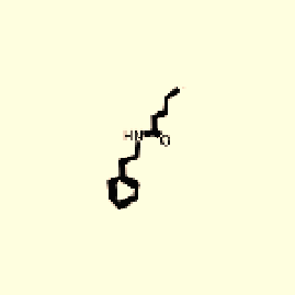 [CH2]CCCC(=O)NCCc1ccccc1